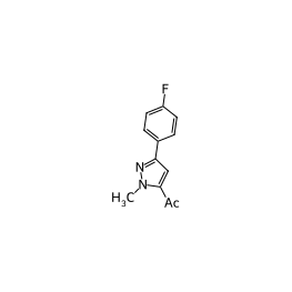 CC(=O)c1cc(-c2ccc(F)cc2)nn1C